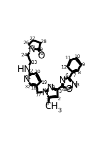 Cc1cc(-c2nc(-c3ccccc3)no2)nn1Cc1ccc(NCCN2CCCC2=O)nc1